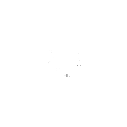 CCOC(=O)c1ccc(S(C)(=O)=O)c(CNC)c1Cl